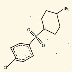 CC(C)(C)C1CCN(S(=O)(=O)c2ccc(Cl)cc2)CC1